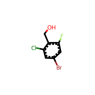 OCc1c(F)cc(Br)cc1Cl